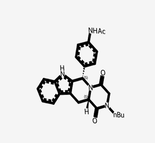 CCCCN1CC(=O)N2[C@@H](c3ccc(NC(C)=O)cc3)c3[nH]c4ccccc4c3C[C@H]2C1=O